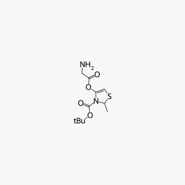 CC1SC=C(OC(=O)CN)N1C(=O)OC(C)(C)C